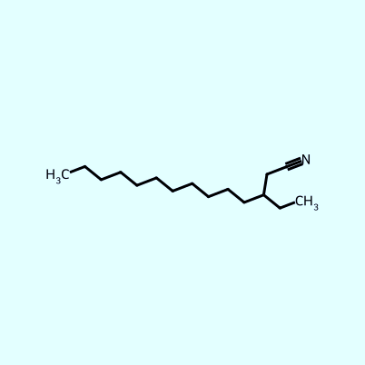 CCCCCCCCCCCC(CC)CC#N